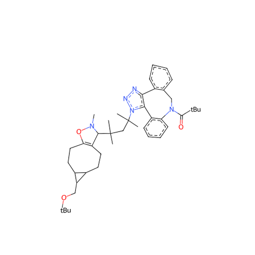 CN1OC2=C(CCC3C(CC2)C3COC(C)(C)C)C1C(C)(C)CC(C)(C)n1nnc2c1-c1ccccc1N(C(=O)C(C)(C)C)Cc1ccccc1-2